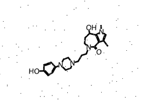 Cc1cn(C)c2c1C(=O)N(CCCN1CCN(c3ccc(O)cc3)CC1)CCC2O